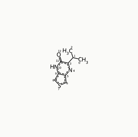 CC(C)c1nc2cscc2[nH]c1=O